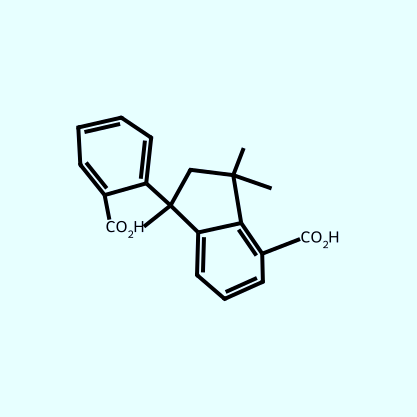 CC1(C)CC(C)(c2ccccc2C(=O)O)c2cccc(C(=O)O)c21